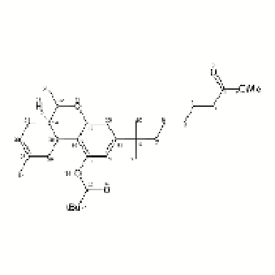 COC(=O)CCCCCC(C)(C)c1cc(OC(=O)C(C)(C)C)c2c(c1)OC(C)[C@@H]1CC=C(C)CC21